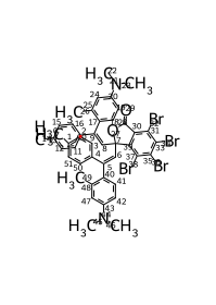 Cc1ccc(C(=CC2(C=C(c3ccc(C)cc3)c3ccc(N(C)C)cc3C)OC(=O)c3c(Br)c(Br)c(Br)c(Br)c32)c2ccc(N(C)C)cc2C)cc1